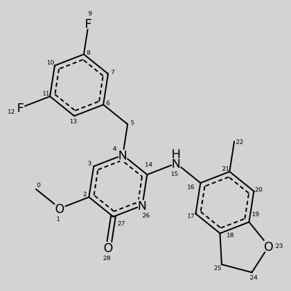 COc1cn(Cc2cc(F)cc(F)c2)c(Nc2cc3c(cc2C)OCC3)nc1=O